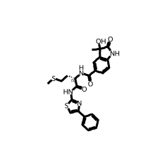 CSCC[C@H](NC(=O)c1ccc2c(c1)C(C)(O)C(=O)N2)C(=O)Nc1nc(-c2ccccc2)cs1